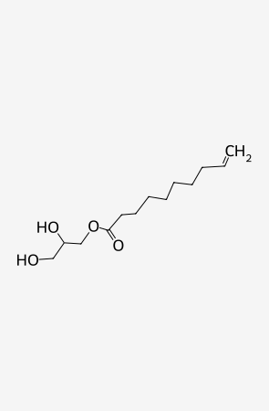 C=CCCCCCCCC(=O)OCC(O)CO